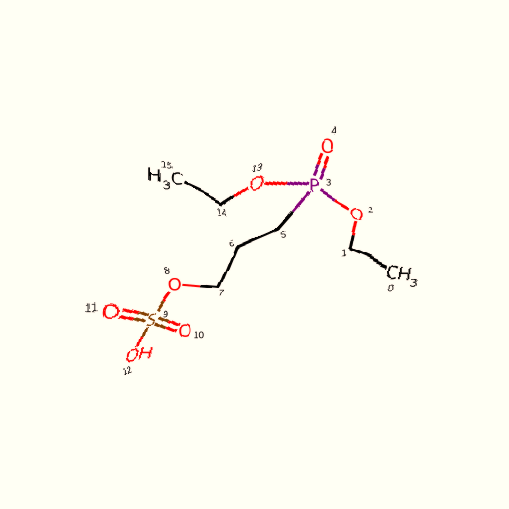 CCOP(=O)(CCCOS(=O)(=O)O)OCC